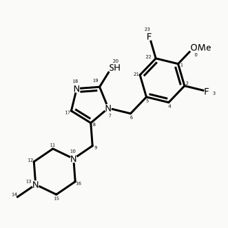 COc1c(F)cc(Cn2c(CN3CCN(C)CC3)cnc2S)cc1F